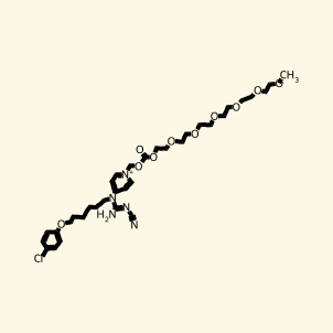 COCCOCCOCCOCCOCCOCCOC(=O)OC[n+]1ccc(N(CCCCCCOc2ccc(Cl)cc2)C(N)=NC#N)cc1